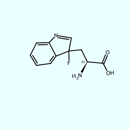 N[C@@H](CC1(F)C=Nc2ccccc21)C(=O)O